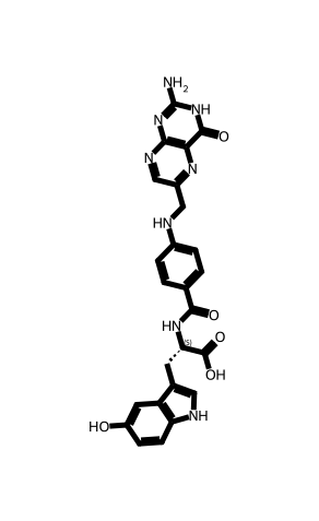 Nc1nc2ncc(CNc3ccc(C(=O)N[C@@H](Cc4c[nH]c5ccc(O)cc45)C(=O)O)cc3)nc2c(=O)[nH]1